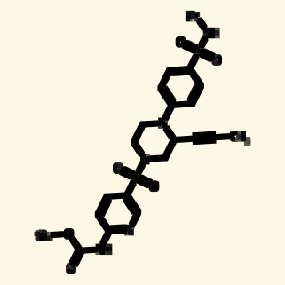 CC#CC1CN(S(=O)(=O)c2ccc(NC(=O)OC(C)(C)C)nc2)CCN1c1ccc(S(=O)(=O)NC(C)C)cc1